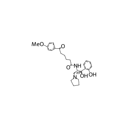 COc1ccc(C(=O)CCCCC(=O)N[C@H](CN2CCCC2)[C@H](O)c2ccccc2O)cc1